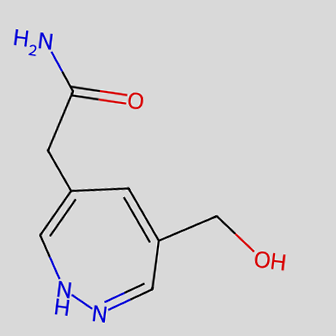 NC(=O)CC1=CNN=CC(CO)=C1